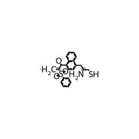 [CH2][C@@H](C(=O)c1ccc(C[C@@H](N)CS)c2ccccc12)S(=O)(=O)c1ccccc1